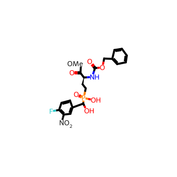 COC(=O)[C@H](CCP(=O)(O)C(O)c1ccc(F)c([N+](=O)[O-])c1)NC(=O)OCc1ccccc1